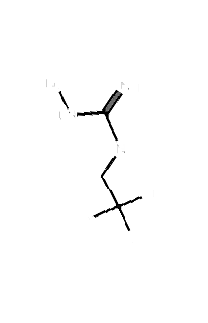 CCC(C)(C)CNC(=N)NC(C)(C)C